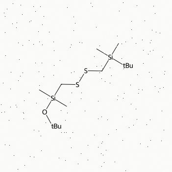 CC(C)(C)O[Si](C)(C)CSSC[Si](C)(C)C(C)(C)C